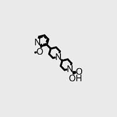 COc1ncccc1C1CCN(C2CCN(C(=O)O)CC2)CC1